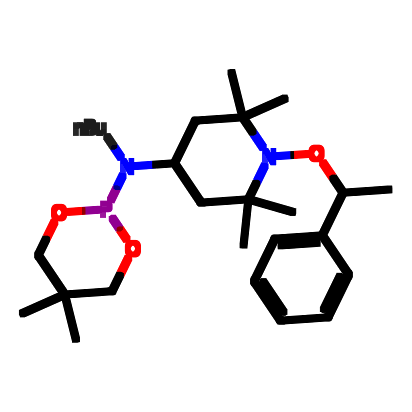 CCCCN(C1CC(C)(C)N(OC(C)c2ccccc2)C(C)(C)C1)P1OCC(C)(C)CO1